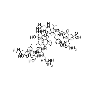 CC(C)C[C@H](NC(=O)[C@H](CO)NC(=O)[C@H](CCCNC(=N)N)NC(=O)[C@@H](NC(=O)[C@@H]1CCCN1C(=O)[C@H](C)NC(=O)[C@H](CC(=O)O)NC(=O)[C@H](Cc1c[nH]cn1)NC(=O)[C@@H](NC(=O)[C@H](Cc1ccc(O)cc1)NC(=O)[C@H](C)NC(=O)[C@H](CCC(=O)O)NC(=O)[C@@H](N)CC(N)=O)C(C)C)C(C)C)C(=O)N[C@@H](CC(N)=O)C(=O)O